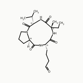 CC[C@]1(C)NC(=O)[C@H](CCCC=O)NC(=O)[C@H]2CCCN2C(=O)[C@H](C(C)C)NC1=O